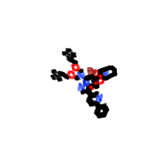 CC(C)(C)OC(=O)N1C2CCCC1CC(c1nc3c(-c4ccc(-c5ccccc5)nc4)cnn3c(N(COCC[Si](C)(C)C)COCC[Si](C)(C)C)c1Br)C2